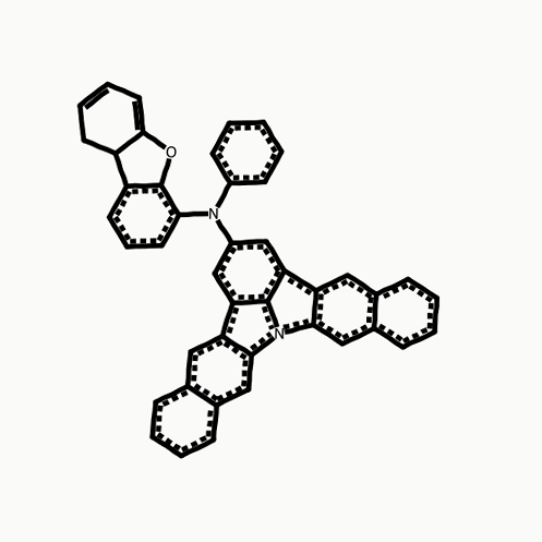 C1=CCC2C(=C1)Oc1c2cccc1N(c1ccccc1)c1cc2c3cc4ccccc4cc3n3c4cc5ccccc5cc4c(c1)c23